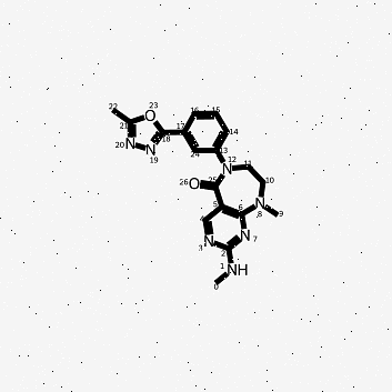 CNc1ncc2c(n1)N(C)CCN(c1cccc(-c3nnc(C)o3)c1)C2=O